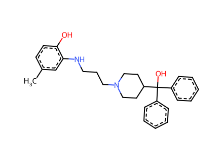 Cc1ccc(O)c(NCCCN2CCC(C(O)(c3ccccc3)c3ccccc3)CC2)c1